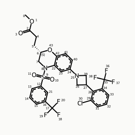 COC(=O)CC[C@H]1CN(S(=O)(=O)c2cccc(C(F)(F)F)c2)c2cc(N3CC(c4c(Cl)cccc4C(F)(F)F)C3)ccc2O1